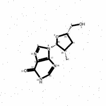 C[C@H]1C[C@@H](CO)O[C@H]1n1cnc2c(=O)[nH]cnc21